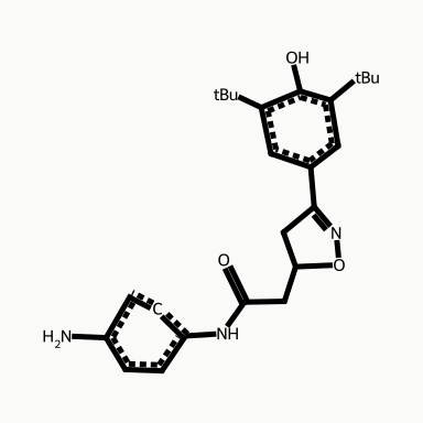 CC(C)(C)c1cc(C2=NOC(CC(=O)Nc3ccc(N)cc3)C2)cc(C(C)(C)C)c1O